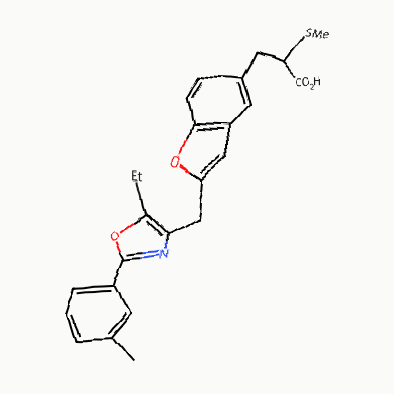 CCc1oc(-c2cccc(C)c2)nc1Cc1cc2cc(CC(SC)C(=O)O)ccc2o1